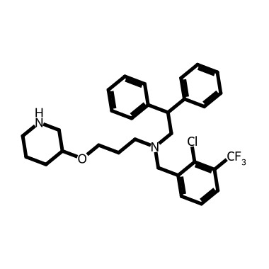 FC(F)(F)c1cccc(CN(CCCOC2CCCNC2)CC(c2ccccc2)c2ccccc2)c1Cl